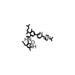 C=C(NCc1c(CCC)cc(C)[nH]c1=O)c1cc(-c2ccc(N3CCN(C(C)C)CC3)nc2)cc(C)c1/C(C)=C\CC(C)C